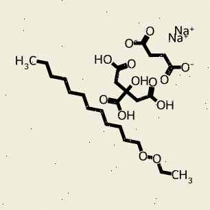 CCCCCCCCCCCCOOCC.O=C(O)CC(O)(CC(=O)O)C(=O)O.O=C([O-])CCC(=O)[O-].[Na+].[Na+]